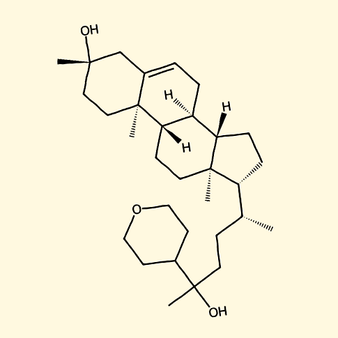 C[C@H](CCC(C)(O)C1CCOCC1)[C@H]1CC[C@H]2[C@@H]3CC=C4C[C@@](C)(O)CC[C@]4(C)[C@H]3CC[C@]12C